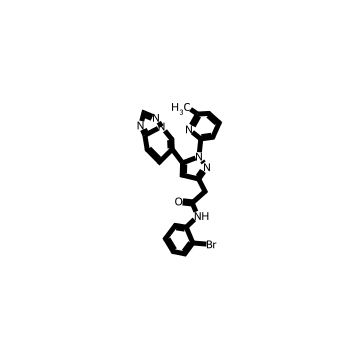 Cc1cccc(-n2nc(CC(=O)Nc3ccccc3Br)cc2-c2ccc3ncnn3c2)n1